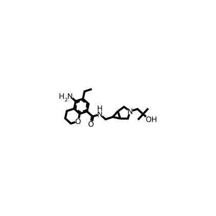 CCc1cc(C(=O)NCC2C3CN(CC(C)(C)O)CC23)c2c(c1N)CCCO2